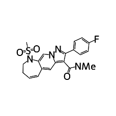 CNC(=O)c1c(-c2ccc(F)cc2)nn2cc3c(cc12)C=CCCN3S(C)(=O)=O